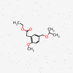 CCOC(=O)Cc1cc(COC(C)C)ccc1OC